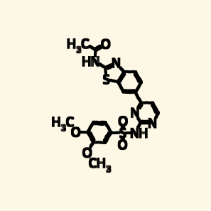 COc1ccc(S(=O)(=O)Nc2nccc(-c3ccc4nc(NC(C)=O)sc4c3)n2)cc1OC